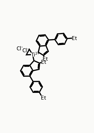 CCC1=Cc2c(-c3ccc(CC)cc3)cccc2[CH]1[Ti+2]1([CH]2C(CC)=Cc3c(-c4ccc(CC)cc4)cccc32)[CH2][CH2]1.[Cl-].[Cl-]